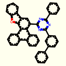 c1ccc(-c2cccc(-c3nc(-c4ccccc4)nc(-c4cc5c6ccccc6oc5c5c6ccccc6c6ccccc6c45)n3)c2)cc1